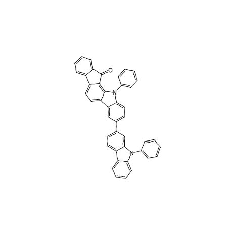 O=C1c2ccccc2-c2ccc3c4cc(-c5ccc6c7ccccc7n(-c7ccccc7)c6c5)ccc4n(-c4ccccc4)c3c21